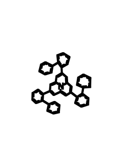 C1=C(c2ccccc2-c2ccccc2)C=C2C=C(c3ccccc3-c3ccccc3)C=C3C=C(c4ccccc4-c4ccccc4)C=C1N23